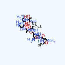 CCCCCCCC[C@@H](NC(=O)C(CCN)NC(=O)CNC(=O)C(CCN)NC(=O)CCC)C(=O)NC(C)C(=O)NC(CCN)C(=O)NC(CCN)C(=O)NC(C(=O)NCC)C(C)O